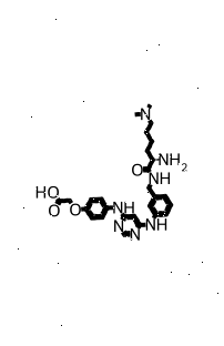 CN(C)CCCC[C@H](N)C(=O)NCc1cccc(Nc2cc(Nc3ccc(OCC(=O)O)cc3)ncn2)c1